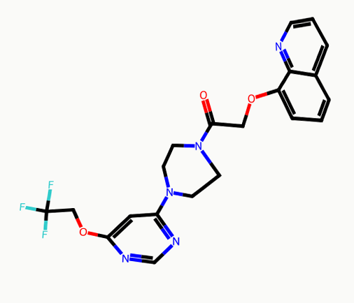 O=C(COc1cccc2cccnc12)N1CCN(c2cc(OCC(F)(F)F)ncn2)CC1